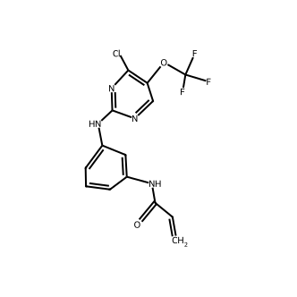 C=CC(=O)Nc1cccc(Nc2ncc(OC(F)(F)F)c(Cl)n2)c1